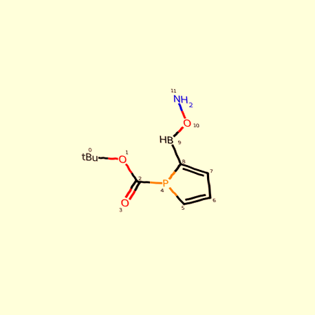 CC(C)(C)OC(=O)p1cccc1BON